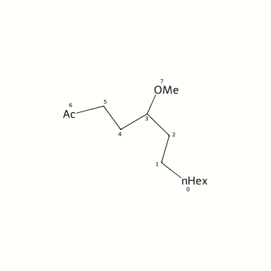 CCCCCCCCC(CCC(C)=O)OC